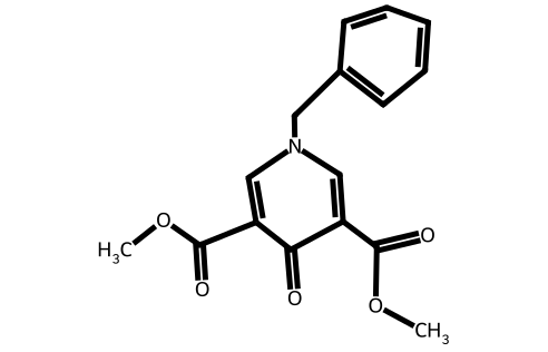 COC(=O)c1cn(Cc2ccccc2)cc(C(=O)OC)c1=O